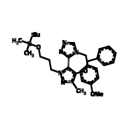 COc1ccc(Cn2cnnc2-c2c(OCc3ccccc3)c(C)nn2CCCO[Si](C)(C)C(C)(C)C)cc1